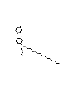 CCCCCCCCCCCCCCCN(CCCC)c1ccc2nc3ccc(=O)cc-3sc2c1